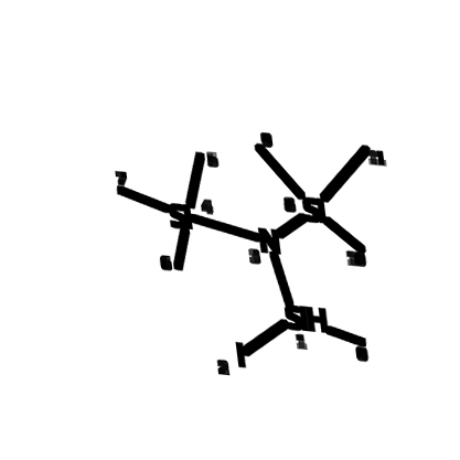 C[SiH](I)N([Si](C)(C)C)[Si](C)(C)C